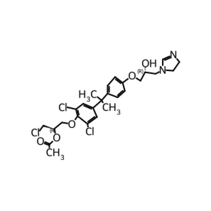 CC(=O)O[C@@H](CCl)COc1c(Cl)cc(C(C)(C)c2ccc(OC[C@H](O)CN3C=NCC3)cc2)cc1Cl